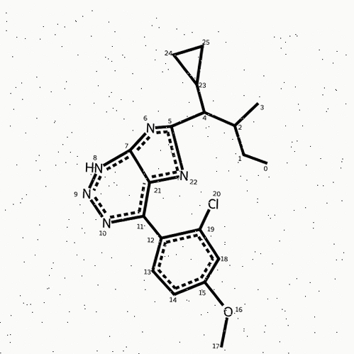 CCC(C)C(c1nc2[nH]nnc(-c3ccc(OC)cc3Cl)c-2n1)C1CC1